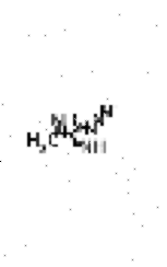 CN(N)C(C=N)CN=[N+]=[N-]